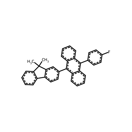 CC1(C)c2ccccc2-c2ccc(-c3c4ccccc4c(-c4ccc(F)cc4)c4ccccc34)cc21